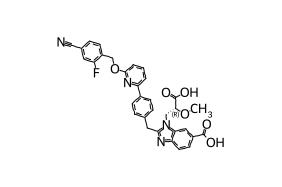 CO[C@H](Cn1c(Cc2ccc(-c3cccc(OCc4ccc(C#N)cc4F)n3)cc2)nc2ccc(C(=O)O)cc21)C(=O)O